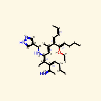 C\C=C/C=C(C(=C\CCC)\OCC)/C(C)=C/C(NCc1cn[nH]c1)=C(C)\C(=C\CCC)C(C)=N